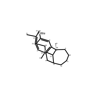 COc1ccc2c(c1)[C@@]1(C)CCCCC(C2)C1N(C)CC=C(C)C